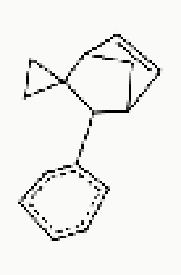 C1=CC2CC1C(c1ccccc1)C21CC1